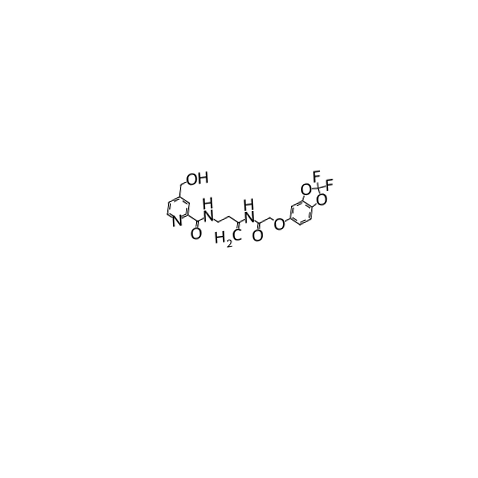 C=C(CCNC(=O)c1cc(CO)ccn1)NC(=O)COc1ccc2c(c1)OC(F)(F)O2